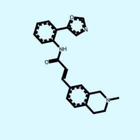 CN1CCc2ccc(C=CC(=O)Nc3ccccc3-c3cnco3)cc2C1